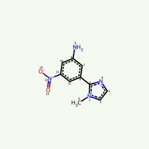 Cn1ccnc1-c1cc(N)cc([N+](=O)[O-])c1